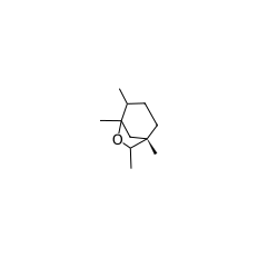 CC1CC[C@@]2(C)CC1(C)OC2C